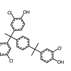 Cc1ccc(C(C)(c2ccc(C(C)(C)c3ccc(O)c(Cl)c3)cc2)c2ccc(O)c(Cl)c2)cc1Cl